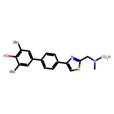 CN(Cc1nc(-c2ccc(-c3cc(C(C)(C)C)c(O)c(C(C)(C)C)c3)cc2)cs1)C(=O)O